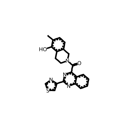 Cc1ccc2c(c1O)CCN(C(=O)c1nc(-c3cscn3)nc3ccccc13)C2